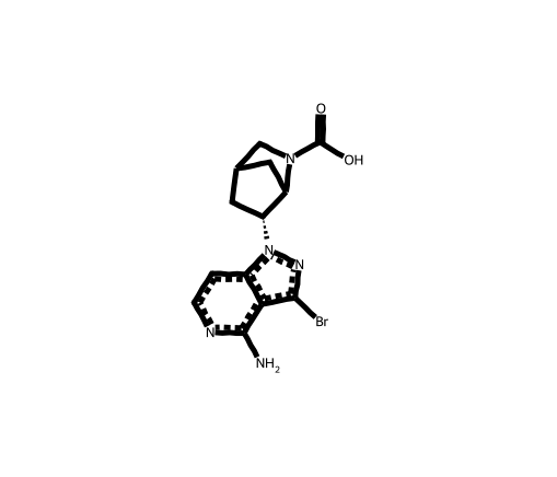 Nc1nccc2c1c(Br)nn2[C@@H]1CC2CC1N(C(=O)O)C2